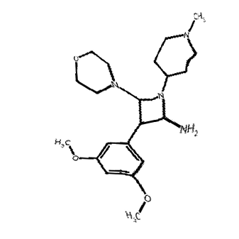 COc1cc(OC)cc(C2C(N)N(C3CCN(C)CC3)C2N2CCOCC2)c1